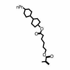 C=C(C)C(=O)OCCCCCC(=O)OC1CCC(C2CCC(CCC)CC2)CC1